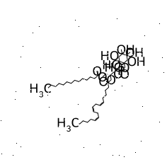 CCCCC/C=C\C/C=C\C/C=C\CCCCC(=O)O[C@H](COC(=O)CCCCCCCCCCCCC)COP(=O)(O)OC1C(O)C(O)C(O)[C@@H](O)C1O